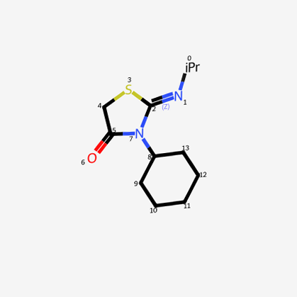 CC(C)/N=C1\SCC(=O)N1C1CCCCC1